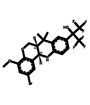 COc1cc(Br)cc2c1OC[C@@H]1[C@H]2Nc2ccc(C(O)(C(F)(F)F)C(F)(F)F)cc2C1(C)C